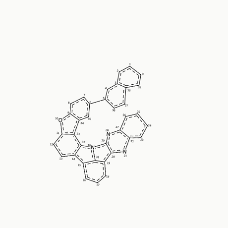 c1ccc2cc(-c3ccc4oc5ccc6c7cccc8c9nc%10ccccc%10nc9n(c78)c6c5c4c3)ccc2c1